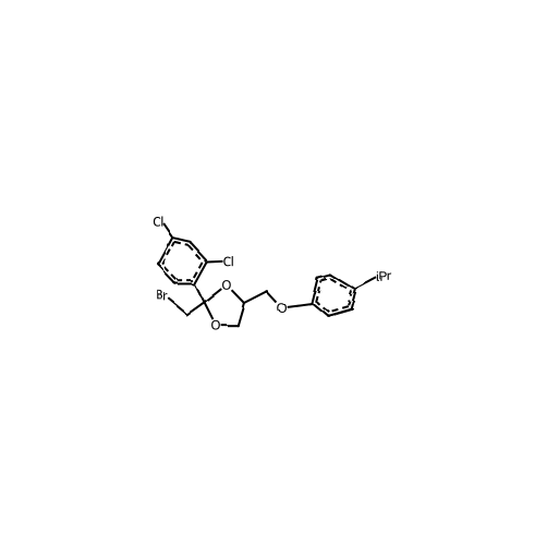 CC(C)c1ccc(OCC2COC(CBr)(c3ccc(Cl)cc3Cl)O2)cc1